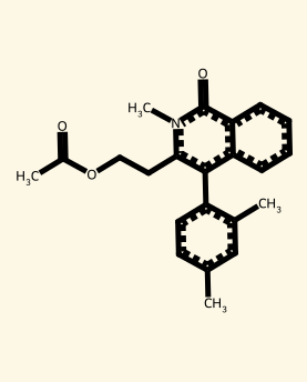 CC(=O)OCCc1c(-c2ccc(C)cc2C)c2ccccc2c(=O)n1C